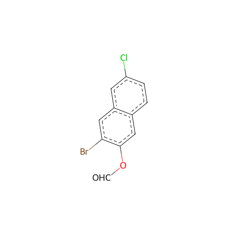 O=COc1cc2ccc(Cl)cc2cc1Br